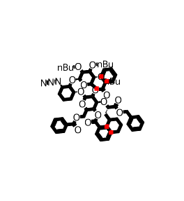 CCCCOC1C(OCCCC)[C@H](OCCCC)C(C)O[C@H]1OC1[C@H](N=[N+]=[N-])CCC[C@H]1OC1OC(COC(=O)c2ccccc2)C(OC(=O)c2ccccc2)[C@H](O[C@@H](CC2CCCCC2)C(=O)OCc2ccccc2)C1OC(=O)c1ccccc1